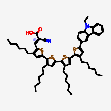 CCCCCCc1cc(-c2sc(-c3sc(-c4sc(-c5ccc6c(c5)c5ccccc5n6CC)cc4CCCCCC)cc3CCCCCC)cc2CCCCCC)sc1/C=C(\C#N)C(=O)O